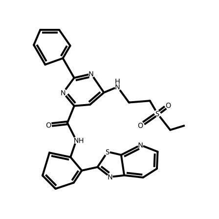 CCS(=O)(=O)CCNc1cc(C(=O)Nc2ccccc2-c2nc3cccnc3s2)nc(-c2ccccc2)n1